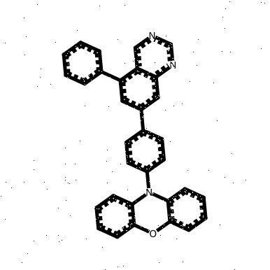 c1ccc(-c2cc(-c3ccc(N4c5ccccc5Oc5ccccc54)cc3)cc3ncncc23)cc1